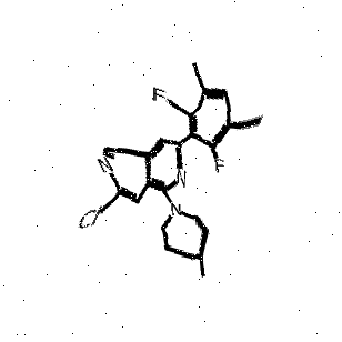 Cc1cc(C)c(F)c(-c2cc3cnc(Cl)cc3c(N3CCC(C)CC3)n2)c1F